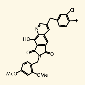 COc1ccc(CN2C(=O)c3cc4cc(Cc5ccc(F)c(Cl)c5)cnc4c(O)c3C2=O)c(OC)c1